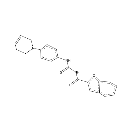 O=C(NC(=S)Nc1ccc(N2CC=CCC2)cc1)c1cc2ccccc2o1